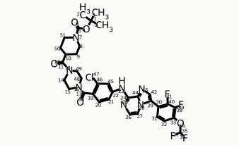 CC(C)(C)OC(=O)N1CCC(C(=O)N2CCN(C(=O)c3ccc(Nc4nccn5c(-c6ccc(OC(F)F)c(F)c6F)cnc45)cc3Cl)CC2)CC1